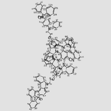 N#Cc1c(-n2c3ccccc3c3ccccc32)c(-n2c3ccccc3c3cc(OCCn4c5ccccc5c5cc(P(=O)(c6ccccc6)c6ccccc6)ccc54)ccc32)c(-n2c3ccccc3c3ccccc32)c(-n2c3ccccc3c3cc(OCCn4c5ccccc5c5cc(P(=O)(c6ccccc6)c6ccccc6)ccc54)ccc32)c1-n1c2ccccc2c2ccccc21